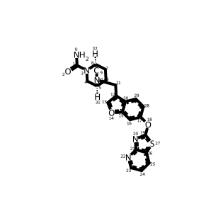 NC(=O)N1C[C@@H]2CC[C@H]1CN2Cc1coc2cc(Oc3nc4ncccc4s3)ccc12